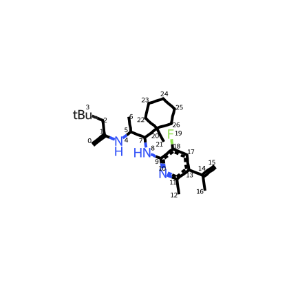 C=C(CC(C)(C)C)NC(C)C(Nc1nc(C)c(C(=C)C)cc1F)C1(C)CCCCC1